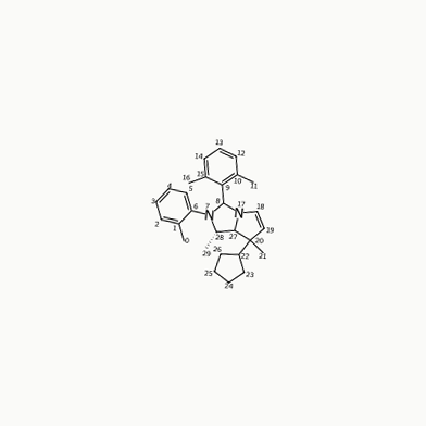 Cc1ccccc1N1C(c2c(C)cccc2C)N2C=CC(C)(C3CCCC3)C2[C@@H]1C